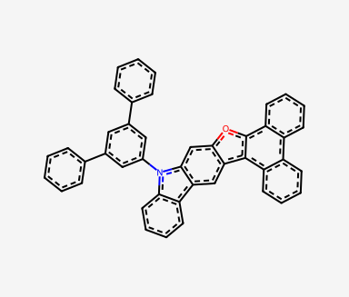 c1ccc(-c2cc(-c3ccccc3)cc(-n3c4ccccc4c4cc5c(cc43)oc3c4ccccc4c4ccccc4c53)c2)cc1